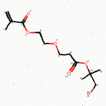 C=C(C)C(=O)OCCOCCC(=O)OC(C)(C)CBr